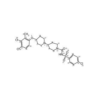 Cc1c(OC2CCN(C3CCN(C(=O)NS(=O)(=O)c4ccc(Cl)cc4)CC3)CC2)ccc(Cl)c1Cl